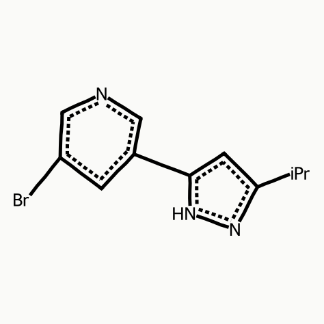 CC(C)c1cc(-c2cncc(Br)c2)[nH]n1